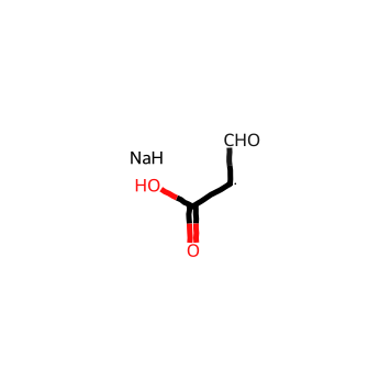 O=C[CH]C(=O)O.[NaH]